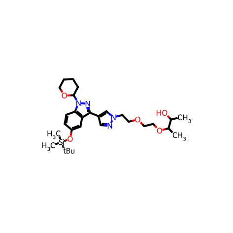 CC(O)C(C)OCCOCCn1cc(-c2nn(C3CCCCO3)c3ccc(O[Si](C)(C)C(C)(C)C)cc23)cn1